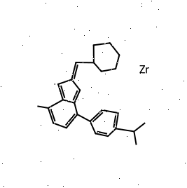 Cc1ccc(-c2ccc(C(C)C)cc2)c2c1=[C]C(=CC1CCCCC1)C=2.[Zr]